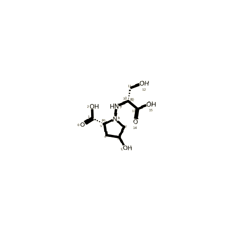 O=C(O)[C@H]1CC(O)CN1N[C@H](CO)C(=O)O